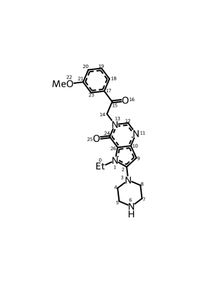 CCn1c(N2CCNCC2)cc2ncn(CC(=O)c3cccc(OC)c3)c(=O)c21